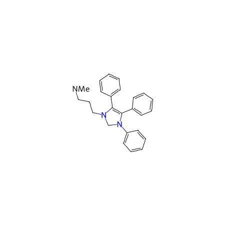 CNCCCN1CN(c2ccccc2)C(c2ccccc2)=C1c1ccccc1